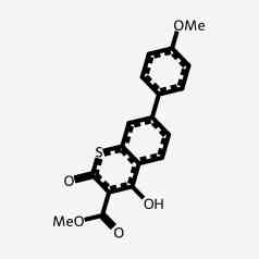 COC(=O)c1c(O)c2ccc(-c3ccc(OC)cc3)cc2sc1=O